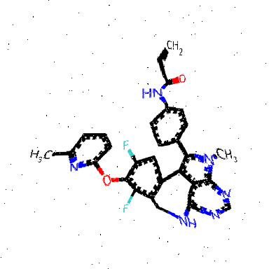 C=CC(=O)Nc1ccc(-c2c3c4c(ncnc4n2C)NCc2c-3cc(F)c(Oc3cccc(C)n3)c2F)cc1